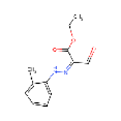 CCOC(=O)C(C=O)=NNc1ccccc1C